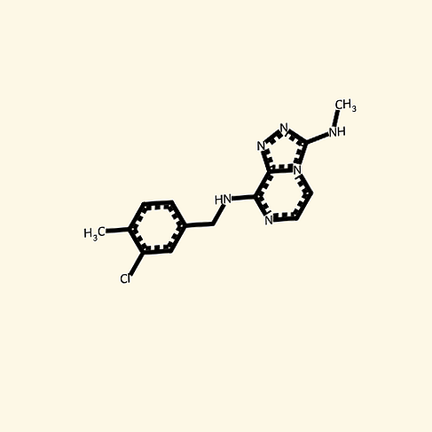 CNc1nnc2c(NCc3ccc(C)c(Cl)c3)nccn12